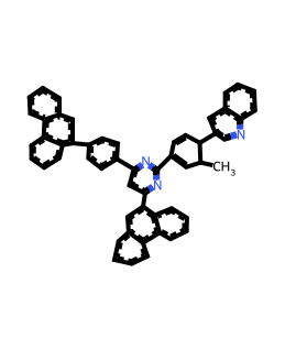 CC1C=C(c2nc(-c3ccc(-c4cc5ccccc5c5ccccc45)cc3)cc(-c3cc4ccccc4c4ccccc34)n2)C=CC1c1cnc2ccccc2c1